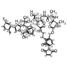 C[C@H](NC(=O)OCc1ccccc1)C(=O)N[C@@H](C)C(=O)N[C@@H](CC(=O)O)C(=O)N[C@@H](CCN(C(=O)CO)[C@@H](c1cc(-c2cc(F)ccc2F)cn1Cc1ccccc1)C(C)(C)C)C(=O)NCCNC(=O)CN1C(=O)C=CC1=O